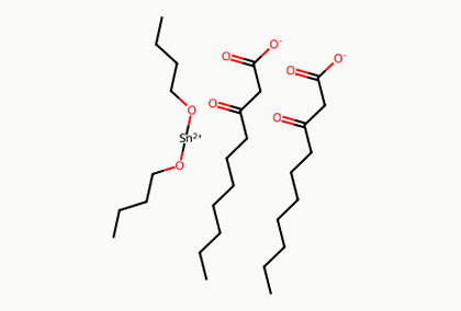 CCCCCCCC(=O)CC(=O)[O-].CCCCCCCC(=O)CC(=O)[O-].CCCC[O][Sn+2][O]CCCC